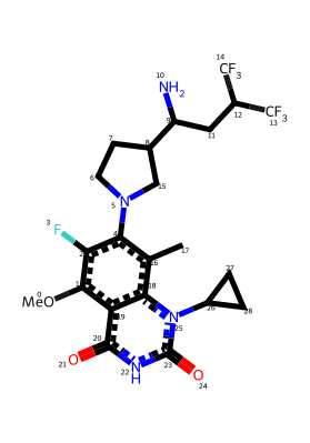 COc1c(F)c(N2CCC(C(N)CC(C(F)(F)F)C(F)(F)F)C2)c(C)c2c1c(=O)[nH]c(=O)n2C1CC1